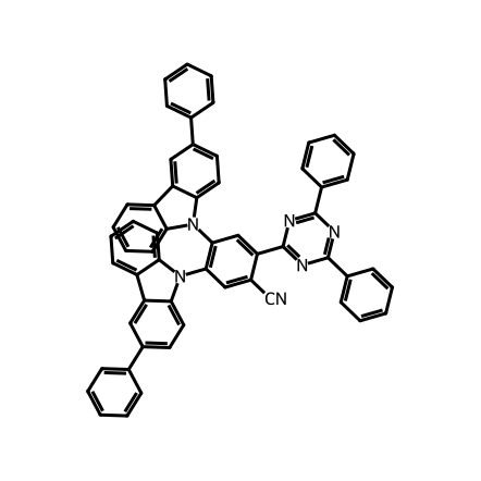 N#Cc1cc(-n2c3ccccc3c3cc(-c4ccccc4)ccc32)c(-n2c3ccccc3c3cc(-c4ccccc4)ccc32)cc1-c1nc(-c2ccccc2)nc(-c2ccccc2)n1